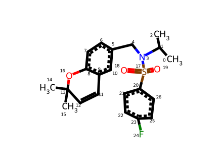 CC(C)N(Cc1ccc2c(c1)C=CC(C)(C)O2)S(=O)(=O)c1ccc(F)cc1